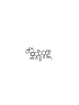 CN1CCCC1c1cc(O)c2c(c1)C[C@H]1CC3CC(O)=C(C(N)=O)C(=O)C3C(O)=C1C2=O